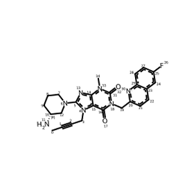 CC#CCn1c(N2CCC[C@@H](N)C2)nc2c1c(=O)n(Cc1ccc3cc(F)ccc3n1)c(=O)n2C